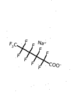 O=C([O-])C(F)(F)C(F)(F)C(F)(F)C(F)(F)C(F)(F)F.[Na+]